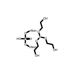 CCCCCCCCCOP(=O)(O)OCCCCCCCCC.OCCON(OCCO)OCCO